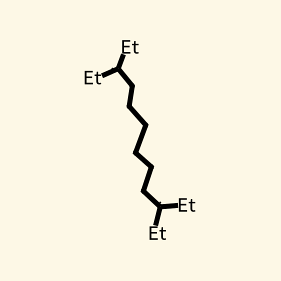 CC[C](CC)CCCCCC[C](CC)CC